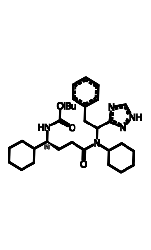 CC(C)COC(=O)N[C@@H](CCC(=O)N(C1CCCCC1)C(Cc1ccccc1)c1nc[nH]n1)C1CCCCC1